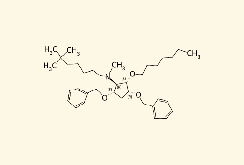 CCCCCCCO[C@H]1[C@H](N(C)CCCCCC(C)(C)C)[C@@H](OCc2ccccc2)C[C@H]1OCc1ccccc1